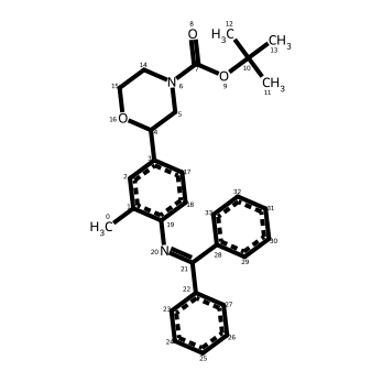 Cc1cc(C2CN(C(=O)OC(C)(C)C)CCO2)ccc1N=C(c1ccccc1)c1ccccc1